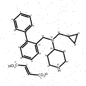 O=C(O)C=CC(=O)O.c1ccc(-c2ccccc2CN(CC2CC2)C2CCNCC2)cc1